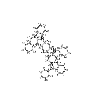 c1ccc(-n2c3ccccc3c3c4c5ccccc5n5c6cc7c(cc6c(cc32)c45)c2c3ccccc3cc3c4ccccc4n7c32)cc1